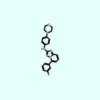 Fc1cccc(-c2cccc3nc(Nc4ccc(N5CCOCC5)cc4)nn23)c1